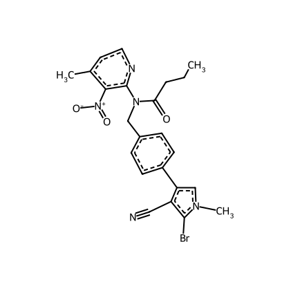 CCCC(=O)N(Cc1ccc(-c2cn(C)c(Br)c2C#N)cc1)c1nccc(C)c1[N+](=O)[O-]